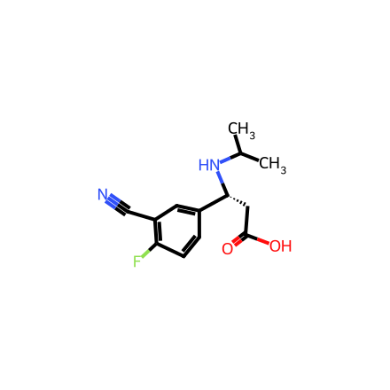 CC(C)N[C@H](CC(=O)O)c1ccc(F)c(C#N)c1